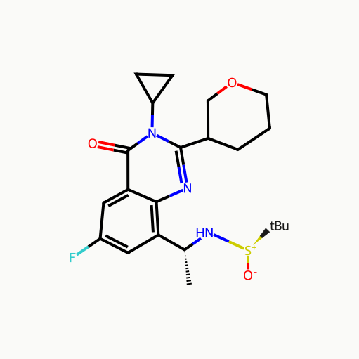 C[C@@H](N[S@+]([O-])C(C)(C)C)c1cc(F)cc2c(=O)n(C3CC3)c(C3CCCOC3)nc12